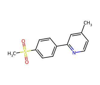 Cc1ccnc(-c2ccc(S(C)(=O)=O)cc2)c1